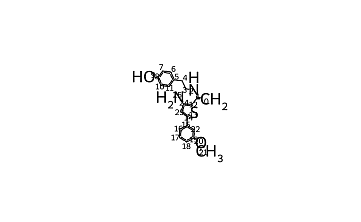 C=C(NCCc1ccc(O)cc1)c1sc(-c2cccc(OC)c2)cc1N